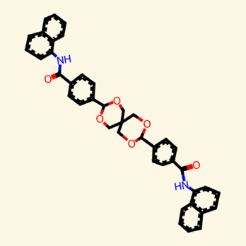 O=C(Nc1cccc2ccccc12)c1ccc(C2OCC3(CO2)COC(c2ccc(C(=O)Nc4cccc5ccccc45)cc2)OC3)cc1